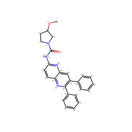 COC1CCN(C(=O)Nc2ccc3nc(-c4ccccc4)c(-c4ccccc4)cc3n2)C1